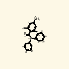 Cc1cc(N)cc(C)c1C(=O)P(c1ccccc1)c1ccccc1